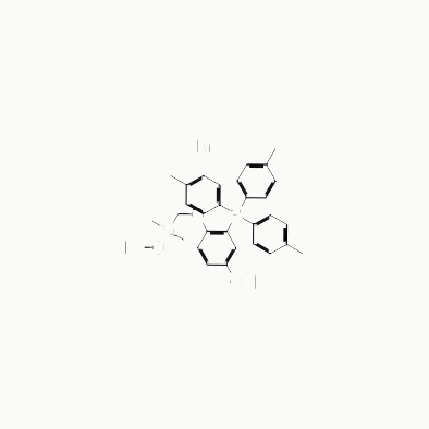 CCO[Si](C)(C)COc1ccc(O)cc1[P+](c1ccc(C)cc1)(c1ccc(C)cc1)c1ccc(C)cc1.[Br-]